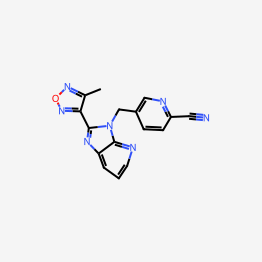 Cc1nonc1-c1nc2cccnc2n1Cc1ccc(C#N)nc1